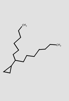 CCC[CH]CCCC(CCCCCC)C1CC1